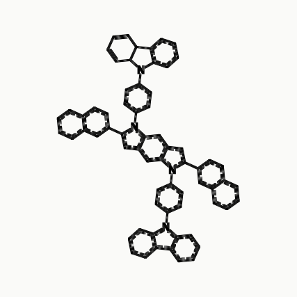 C1=CC2c3ccccc3N(c3ccc(-n4c(-c5ccc6ccccc6c5)cc5cc6c(cc(-c7ccc8ccccc8c7)n6-c6ccc(-n7c8ccccc8c8ccccc87)cc6)cc54)cc3)C2C=C1